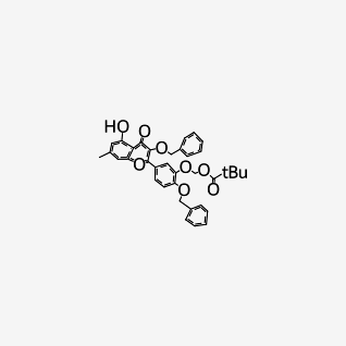 Cc1cc(O)c2c(=O)c(OCc3ccccc3)c(-c3ccc(OCc4ccccc4)c(OCOC(=O)C(C)(C)C)c3)oc2c1